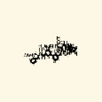 CNC[C@H](CC1=CCCC=C1)NC(=O)c1cc(-c2cccc(CN3O[C@@H](CO)[C@@H]([C@H](C)O)[C@H]3C(=O)N[C@H]3C[C@H]4C[C@@H]([C@@H]3C)C4(C)C)c2OC)cc(N(C)C)c1